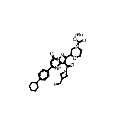 CC(C)(C)OC(=O)N1CCOC(c2nn3c(=O)cc(-c4ccc(C5CCCCC5)cc4)[nH]c3c2C(=O)N2CC(CF)C2)C1